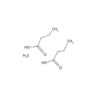 CCCC(=O)O.CCCC(=O)O.S